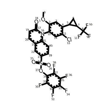 COc1cc(C2CC2C(F)(F)F)c(Cl)cc1-n1c(=O)ccc2cc(S(=O)(=O)Oc3c(F)c(F)c(F)c(F)c3F)ccc21